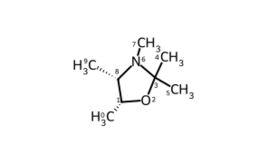 C[C@H]1OC(C)(C)N(C)[C@H]1C